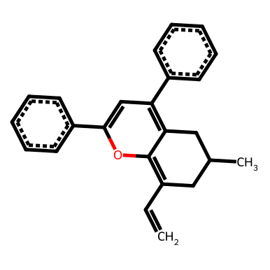 C=CC1=C2OC(c3ccccc3)=CC(c3ccccc3)=C2CC(C)C1